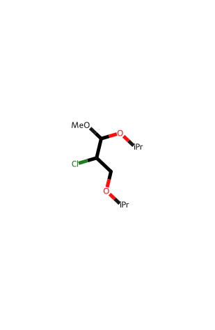 COC(OC(C)C)C(Cl)COC(C)C